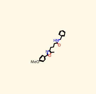 COc1ccc(-c2nc(CCCC(=O)NCc3ccccc3)c(C)o2)cc1